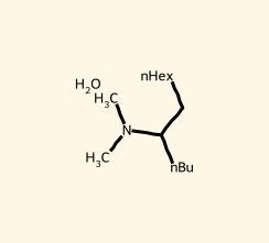 CCCCCCCC(CCCC)N(C)C.O